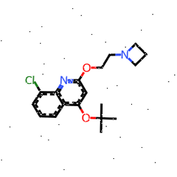 CC(C)(C)Oc1cc(OCCN2CCC2)nc2c(Cl)cccc12